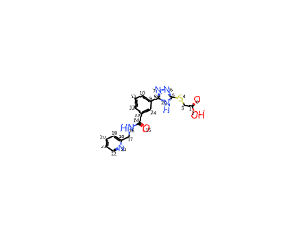 O=C(O)CSc1nnc(-c2cccc(C(=O)NCc3ccccn3)c2)[nH]1